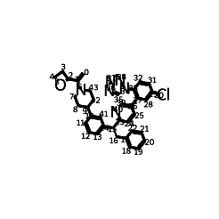 C=C(C1CCO1)N1CCC(c2cccc([C@H](Cc3ccccc3)c3ccc(-c4cc(Cl)ccc4-n4cnnn4)cn3)c2)CC1